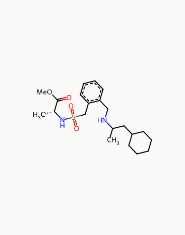 COC(=O)[C@@H](C)NS(=O)(=O)Cc1ccccc1CNC(C)CC1CCCCC1